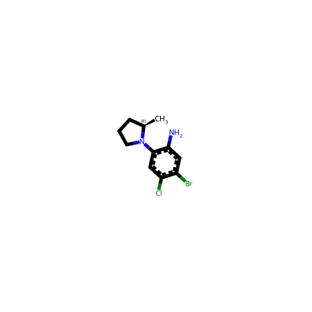 C[C@@H]1CCCN1c1cc(Cl)c(Br)cc1N